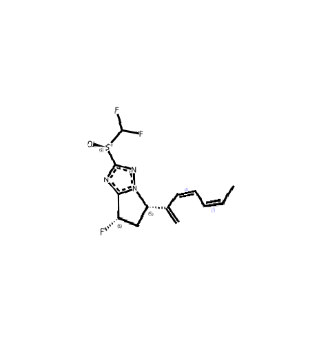 C=C(/C=C\C=C/C)[C@@H]1C[C@H](F)c2nc([S@@+]([O-])C(F)F)nn21